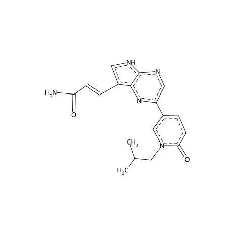 CC(C)Cn1cc(-c2cnc3[nH]cc(C=CC(N)=O)c3n2)ccc1=O